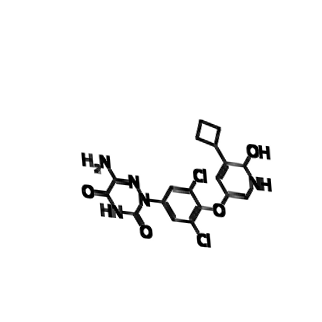 Nc1nn(-c2cc(Cl)c(OC3=CNC(O)C(C4CCC4)=C3)c(Cl)c2)c(=O)[nH]c1=O